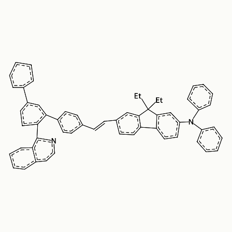 CCC1(CC)c2cc(/C=C/c3ccc(-c4cc(-c5ccccc5)ccc4-c4nccc5ccccc45)cc3)ccc2-c2ccc(N(c3ccccc3)c3ccccc3)cc21